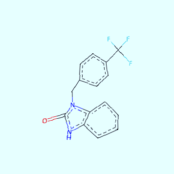 O=c1[nH]c2ccccc2n1Cc1ccc(C(F)(F)F)cc1